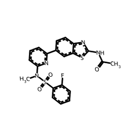 CC(=O)Nc1nc2ccc(-c3cccc(N(C)S(=O)(=O)c4ccccc4F)n3)cc2s1